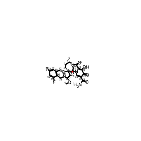 COC1[C@H](F)[C@]2(CC[C@H](C)N3C[C@H]2n2cc(C(N)=O)c(=O)c(O)c2C3=O)ON1Cc1c(F)cc(F)cc1F